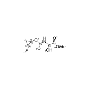 COC(=O)C(O)NC(=O)O[C@@H]1C[C@H]1F